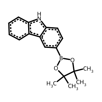 CC1(C)OB(c2ccc3[nH]c4ccccc4c3c2)OC1(C)C